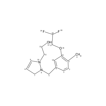 Cc1ccc(CN2CC=CN2CCO)cc1OCC(F)F